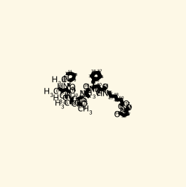 CC[C@H](C)[C@H](NC(=O)[C@H]1CCCCN1C)C(=O)N(C)[C@H](C[C@@H](OC(C)=O)c1nc(C(=O)N[C@@H](Cc2ccccc2)C[C@H](C)C(=O)NCCCCCC(=O)ON2C(=O)CCC2=O)cs1)C(C)C